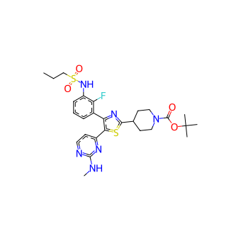 CCCS(=O)(=O)Nc1cccc(-c2nc(C3CCN(C(=O)OC(C)(C)C)CC3)sc2-c2ccnc(NC)n2)c1F